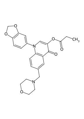 CCC(=O)Oc1cn(-c2ccc3c(c2)OCO3)c2ccc(CN3CCOCC3)cc2c1=O